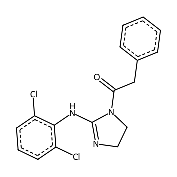 O=C(Cc1ccccc1)N1CCN=C1Nc1c(Cl)cccc1Cl